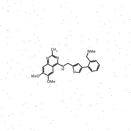 CNCc1ccccc1-c1csc(CNc2nc(C)nc3cc(OC)c(OC)cc23)c1